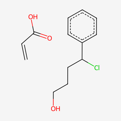 C=CC(=O)O.OCCCC(Cl)c1ccccc1